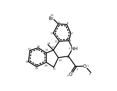 COC(=O)C1Nc2ccc(Br)cc2C2(C)c3ccccc3CC12